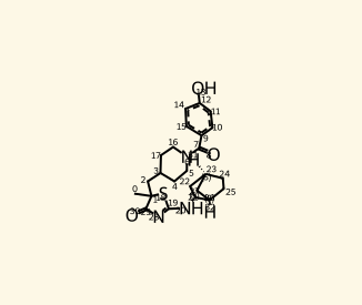 CC1(CC2CCN(C(=O)c3ccc(O)cc3)CC2)SC(N[C@H]2C[C@H]3CC[C@H]2C3)=NC1=O